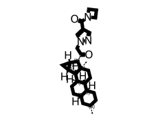 C[C@H]1CC[C@H]2[C@H](CC[C@@H]3[C@@H]2CC[C@@]2(C)[C@H]3[C@@H]3C[C@@H]3[C@@H]2C(=O)Cn2cc(C(=O)N3CCC3)cn2)C1